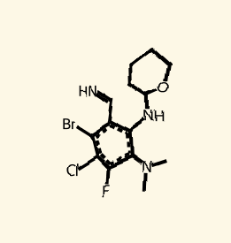 CN(C)c1c(F)c(Cl)c(Br)c(C=N)c1NC1CCCCO1